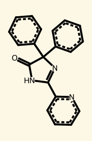 O=C1NC(c2ccccn2)=NC1(c1ccccc1)c1ccccc1